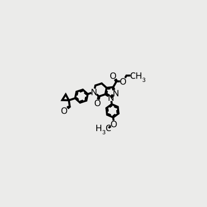 CCOC(=O)c1nn(-c2ccc(OC)cc2)c2c1CCN(c1ccc(C3(C=O)CC3)cc1)C2=O